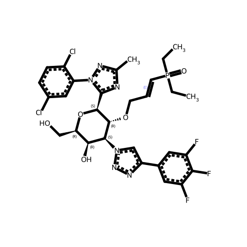 CCP(=O)(/C=C/CO[C@@H]1[C@@H](n2cc(-c3cc(F)c(F)c(F)c3)nn2)[C@@H](O)[C@@H](CO)O[C@H]1c1nc(C)nn1-c1cc(Cl)ccc1Cl)CC